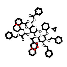 C[C@@H]1O[C@@H](O[C@@H]2[C@@H](C3CC3)CCC[C@H]2O[C@@H]2O[C@H](COC(=O)c3ccccc3)[C@H](OC(=O)c3ccccc3)[C@H](O[C@@H](CC3CCCCC3)C(=O)OCc3ccccc3)[C@H]2OC(=O)c2ccccc2)[C@@H](OCc2ccccc2)[C@H](OCc2ccccc2)[C@@H]1OCc1ccccc1